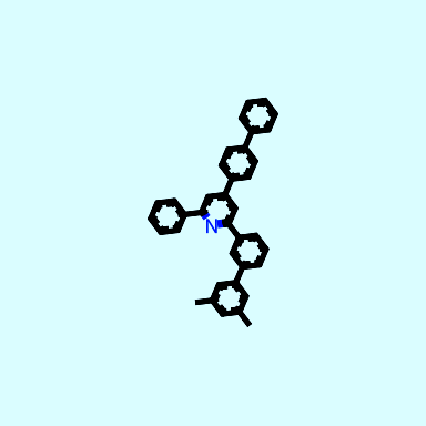 Cc1cc(C)cc(-c2cccc(-c3cc(-c4ccc(-c5ccccc5)cc4)cc(-c4ccccc4)n3)c2)c1